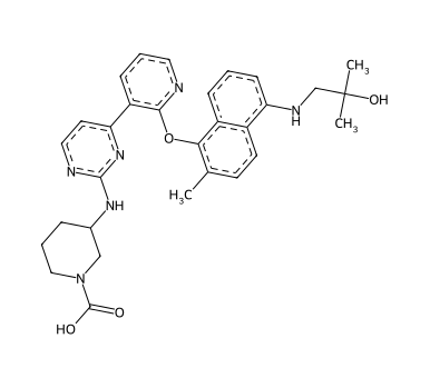 Cc1ccc2c(NCC(C)(C)O)cccc2c1Oc1ncccc1-c1ccnc(NC2CCCN(C(=O)O)C2)n1